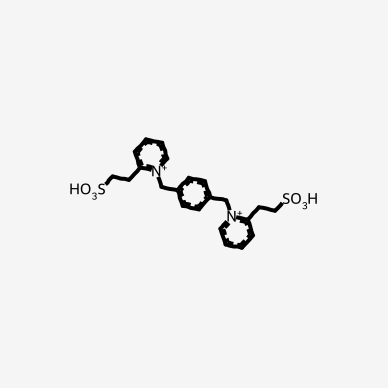 O=S(=O)(O)CCc1cccc[n+]1Cc1ccc(C[n+]2ccccc2CCS(=O)(=O)O)cc1